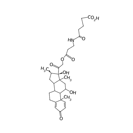 C[C@@H]1CC2C3CCC4=CC(=O)C=CC4(C)C3C(O)CC2(C)[C@@]1(O)C(=O)COC(=O)CCNC(=O)CCCC(=O)O